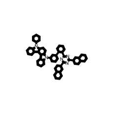 c1ccc(-n2c3ccccc3c3c4c5ccccc5n(-c5cccc(-c6ccccc6-c6nc(-c7ccc8ccccc8c7)nc(-c7ccc8ccccc8c7)n6)c5)c4ccc32)cc1